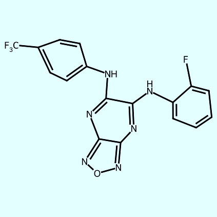 Fc1ccccc1Nc1nc2nonc2nc1Nc1ccc(C(F)(F)F)cc1